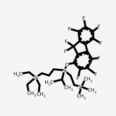 CC[Si](CC)(CC)CCC[Si](CC[Si](C)(C)C)(Oc1c(F)c(F)c(F)c2c1C(F)(F)c1c(F)c(F)c(F)c(F)c1-2)C(C)C